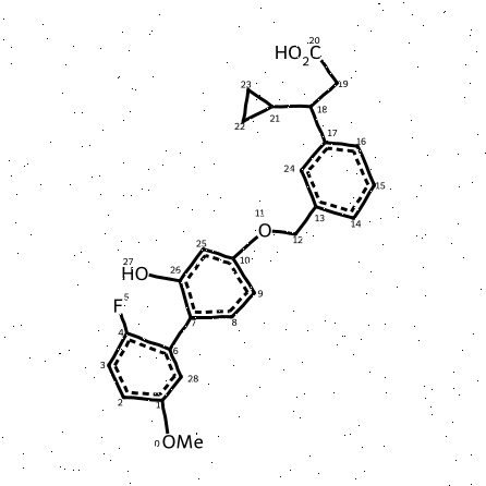 COc1ccc(F)c(-c2ccc(OCc3cccc(C(CC(=O)O)C4CC4)c3)cc2O)c1